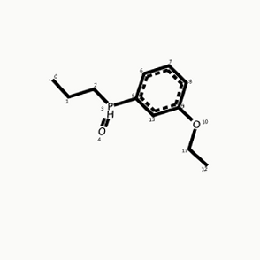 [CH2]CC[PH](=O)c1cccc(OCC)c1